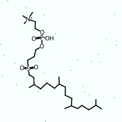 CC(C)CCCC(C)CCCC(C)CCCC(C)CCS(=O)(=O)CCCOP(=O)(O)OCC[N+](C)(C)C